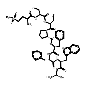 CC[C@H](C)[C@H](NC(=O)[C@H](Cc1c[nH]c2ccccc12)NC(=O)[C@H](Cc1ccccc1)NC(=O)[C@H](Cc1ccccc1)NC(=O)[C@@H]1CCCN1C(=O)[C@H](CC(C)C)NC(=O)[C@H](CC(C)C)NC(=O)[C@@H](N)CCS(C)(=O)=O)C(=O)O